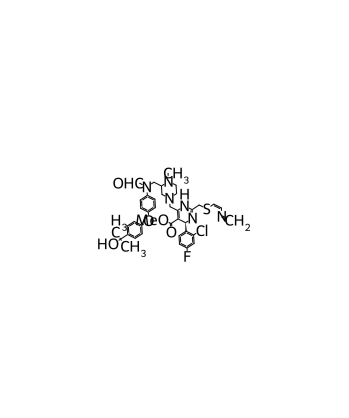 C=N/C=C\SCC1=N[C@@H](c2ccc(F)cc2Cl)C(C(=O)OC)=C(CN2CCN(C)C(CN(C=O)c3ccc(Oc4ccc(C(C)(C)O)cc4)cc3)C2)N1